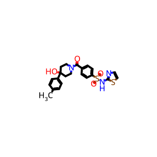 Cc1ccc(C2(O)CCN(C(=O)c3ccc(S(=O)(=O)Nc4nccs4)cc3)CC2)cc1